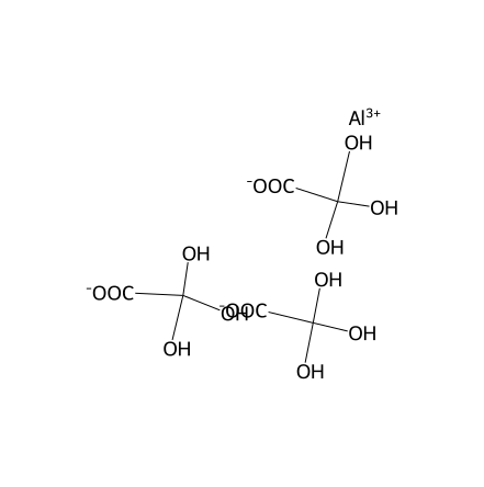 O=C([O-])C(O)(O)O.O=C([O-])C(O)(O)O.O=C([O-])C(O)(O)O.[Al+3]